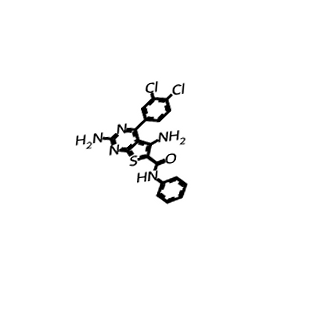 Nc1nc(-c2ccc(Cl)c(Cl)c2)c2c(N)c(C(=O)Nc3ccccc3)sc2n1